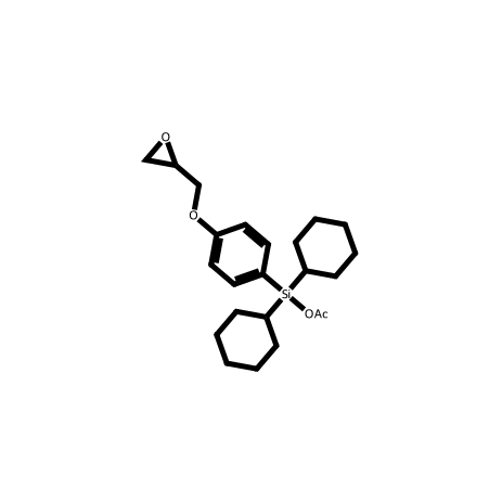 CC(=O)O[Si](c1ccc(OCC2CO2)cc1)(C1CCCCC1)C1CCCCC1